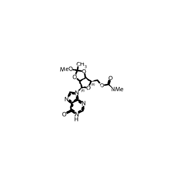 CNC(=O)OC[C@H]1O[C@@H](n2cnc3c(=O)[nH]cnc32)C2OC(C)(OC)OC21